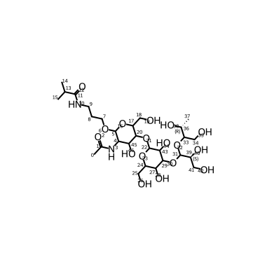 CC(=O)NC1C(OCCCNC(=O)C(C)C)OC(CO)C(OC2OC(CO)C(O)C(OC(OC(CO)[C@@H](C)O)[C@@H](O)CO)C2O)C1O